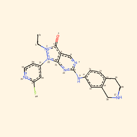 CCn1c(=O)c2cnc(Nc3ccc4c(c3)CNCC4)nc2n1-c1ccnc(F)c1